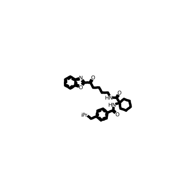 CC(C)Cc1ccc(C(=O)NC2(C(=O)NCCCCC(=O)c3nc4ccccc4o3)CCCCC2)cc1